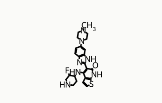 CN1CCN(c2ccc3nc(-c4c(NC5CCNCC5F)c5ccsc5[nH]c4=O)[nH]c3c2)CC1